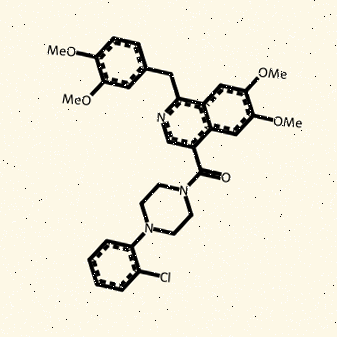 COc1ccc(Cc2ncc(C(=O)N3CCN(c4ccccc4Cl)CC3)c3cc(OC)c(OC)cc23)cc1OC